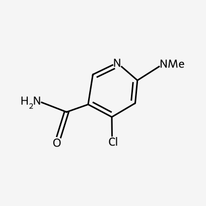 CNc1cc(Cl)c(C(N)=O)cn1